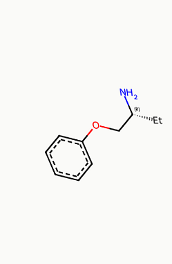 CC[C@@H](N)COc1ccccc1